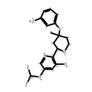 CC1(Sc2cccc(C(F)(F)F)c2)CCOC(c2ncc(OC(F)F)cc2Cl)C1